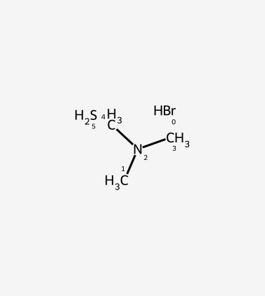 Br.CN(C)C.S